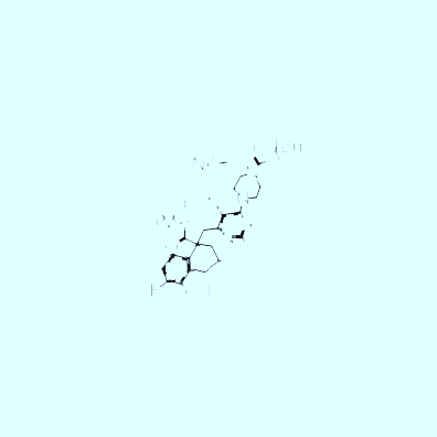 COC(=O)C1(Cc2nc(Cl)nc(N3CCN(C(=O)OC(C)(C)C)[C@@H](CC#N)C3)c2[N+](=O)[O-])CCCc2c1ccc(F)c2C